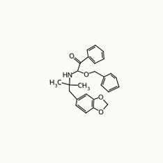 CC(C)(Cc1ccc2c(c1)OCO2)NC(OCc1ccccc1)C(=O)c1ccccc1